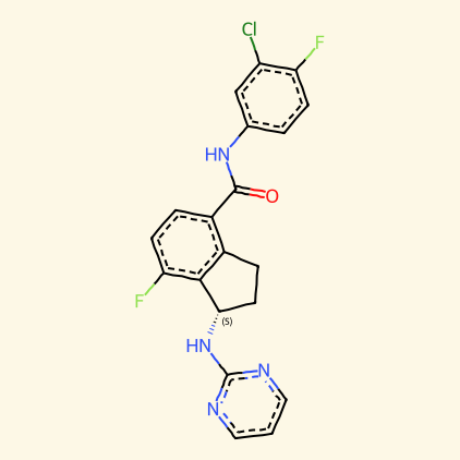 O=C(Nc1ccc(F)c(Cl)c1)c1ccc(F)c2c1CC[C@@H]2Nc1ncccn1